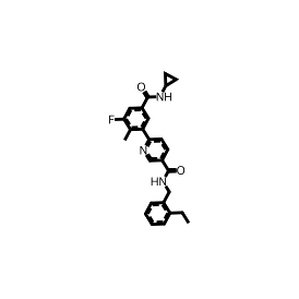 CCc1ccccc1CNC(=O)c1ccc(-c2cc(C(=O)NC3CC3)cc(F)c2C)nc1